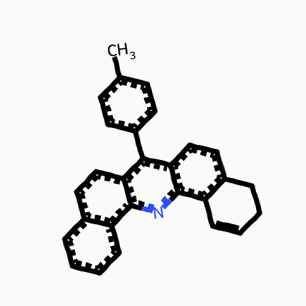 Cc1ccc(-c2c3ccc4c(c3nc3c2ccc2ccccc23)C=CCC4)cc1